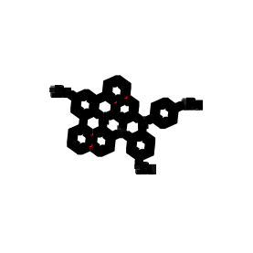 Cc1cc2c3c(c1)N(c1c(-c4ccccc4)cc(C(C)(C)C)cc1-c1ccccc1)c1ccccc1B3c1cc(C(C)(C)C)ccc1N2c1ccc(C(C)(C)C)cc1